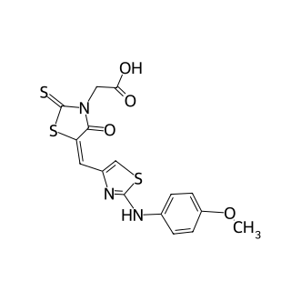 COc1ccc(Nc2nc(C=C3SC(=S)N(CC(=O)O)C3=O)cs2)cc1